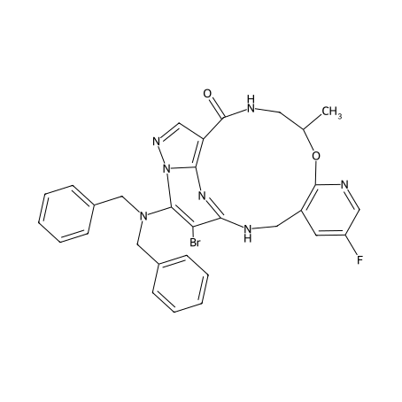 CC1CNC(=O)c2cnn3c(N(Cc4ccccc4)Cc4ccccc4)c(Br)c(nc23)NCc2cc(F)cnc2O1